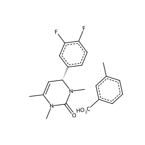 CC1=C[C@H](c2ccc(F)c(F)c2)N(C)C(=O)N1C.Cc1cccc(C(=O)O)c1